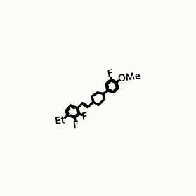 CCc1ccc(/C=C/C2CCC(c3ccc(OC)c(F)c3)CC2)c(F)c1F